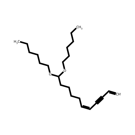 [CH]=CC#C/C=C\CCCCC(OCCCCCC)OCCCCCC